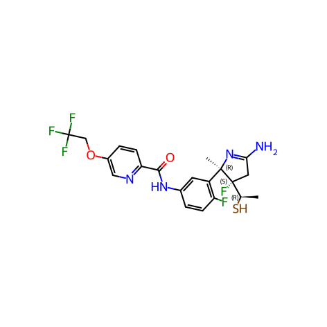 C[C@@H](S)[C@]1(F)CC(N)=N[C@]1(C)c1cc(NC(=O)c2ccc(OCC(F)(F)F)cn2)ccc1F